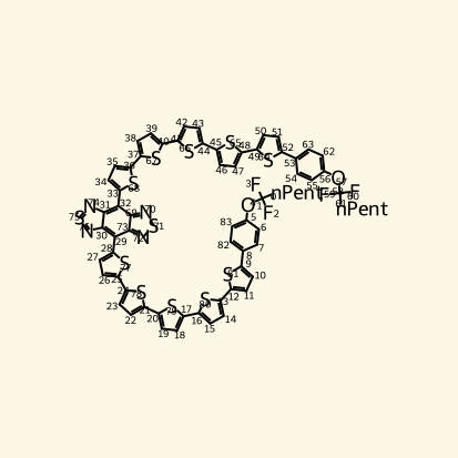 CCCCCC(F)(F)Oc1ccc(-c2ccc(-c3ccc(-c4ccc(-c5ccc(-c6ccc(-c7c8c(c(-c9ccc(-c%10ccc(-c%11ccc(-c%12ccc(-c%13ccc(-c%14ccc(OC(F)(F)CCCCC)cc%14)s%13)s%12)s%11)s%10)s9)c9nsnc79)N=S=N8)s6)s5)s4)s3)s2)cc1